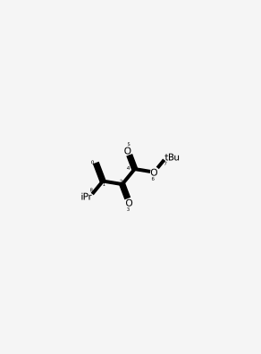 C=C(C(=O)C(=O)OC(C)(C)C)C(C)C